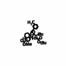 CC[C@H](C)[C@H](NC(=O)OC(C)(C)C)C(=O)O[C@@]1(C#Cc2cccc(C)c2)CCC[C@@H]2[C@H]1CCN2C(=O)OC